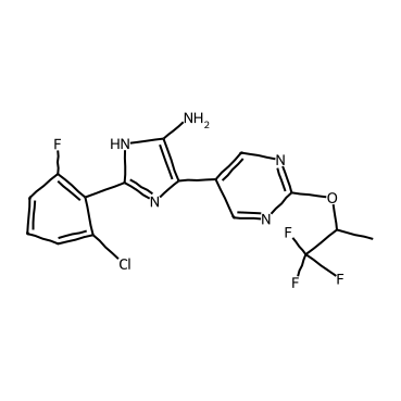 CC(Oc1ncc(-c2nc(-c3c(F)cccc3Cl)[nH]c2N)cn1)C(F)(F)F